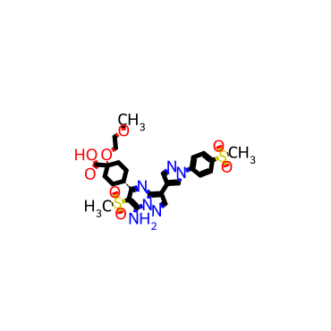 COCCO[C@]1(C(=O)O)CC[C@H](c2nc3c(-c4cnn(-c5ccc(S(C)(=O)=O)cc5)c4)cnn3c(N)c2S(C)(=O)=O)CC1